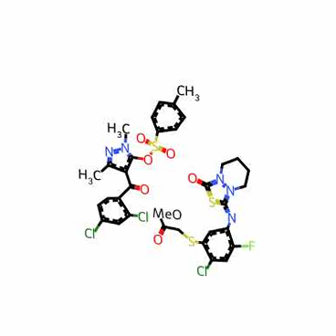 COC(=O)CSc1cc(/N=c2\sc(=O)n3n2CCCC3)c(F)cc1Cl.Cc1ccc(S(=O)(=O)Oc2c(C(=O)c3ccc(Cl)cc3Cl)c(C)nn2C)cc1